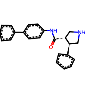 O=C(Nc1ccc(-c2ccccc2)cc1)[C@@H]1CNC[C@H]1c1ccccc1